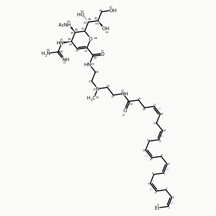 CC/C=C\C/C=C\C/C=C\C/C=C\C/C=C\C/C=C\CCC(=O)NCCN(C)CCNC(=O)C1=C[C@@H](NC(=N)N)[C@@H](NC(C)=O)C([C@H](O)[C@H](O)CO)O1